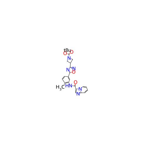 Cc1ccc(-c2nc(C3CN(C(=O)OC(C)(C)C)C3)no2)cc1NC(=O)c1cnc2ccccn12